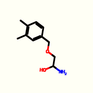 Cc1ccc(COCC(N)O)cc1C